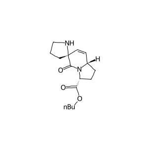 CCCCOC(=O)[C@H]1CC[C@H]2C=C[C@]3(CCCN3)C(=O)N21